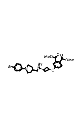 COC(=O)c1ccc(O[C@H]2C[C@H](N(CC3CCN(c4ccc(Br)cc4)CC3)C(C)C)C2)cc1C(=O)OC